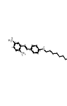 CCCCCCCCOc1ccc(C=Cc2cc(C)ccc2C)cc1